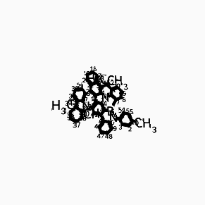 Cc1ccc(N2B3c4cccc5c4-n4c6c(c7ccccc7cc6c6c(N7c8ccccc8C8(C)CCCCC78C)cc(c3c64)-c3ccccc32)C5(C)C)cc1